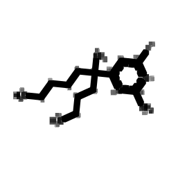 CCCCCC(C)(CCCC)c1cc(F)nc(N)n1